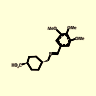 COc1cc(C=NC[C@H]2CC[C@H](C(=O)O)CC2)cc(OC)c1OC